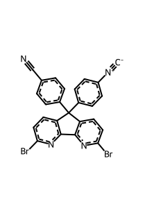 [C-]#[N+]c1ccc(C2(c3ccc(C#N)cc3)c3ccc(Br)nc3-c3nc(Br)ccc32)cc1